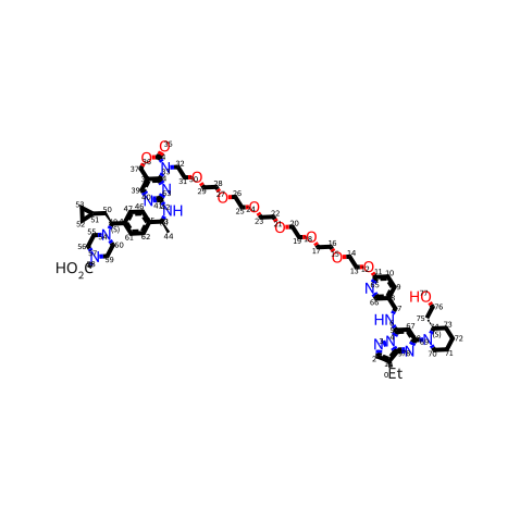 CCc1cnn2c(NCc3ccc(OCCOCCOCCOCCOCCOCCOCCN4C(=O)OCc5cnc(N[C@@H](C)c6ccc([C@H](CC7CC7)N7CCN(C(=O)O)CC7)cc6)nc54)nc3)cc(N3CCCC[C@H]3CCO)nc12